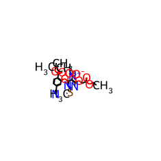 CCOC(=O)COc1nc(SC)nc(Oc2cc(C#N)ccc2C(=O)OC(C)(C)C)c1[N+](=O)[O-]